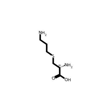 NCCCSC[C@H](N)C(=O)O